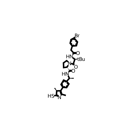 CC1=C(c2ccc([C@H](C)NC(=O)[C@@H]3CCCN3C(=O)[C@@H](NC(=O)Cc3ccc(Br)cc3)C(C)(C)C)cc2)[C@H](C)C(S)=N1